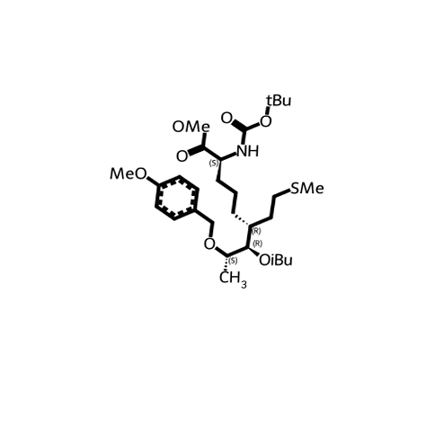 COC(=O)[C@H](CCC[C@H](CCSC)[C@@H](OCC(C)C)[C@H](C)OCc1ccc(OC)cc1)NC(=O)OC(C)(C)C